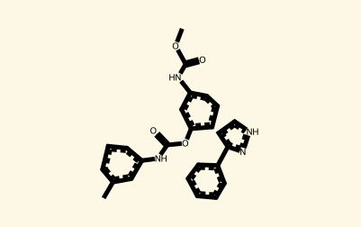 COC(=O)Nc1cccc(OC(=O)Nc2cccc(C)c2)c1.c1ccc(-c2cc[nH]n2)cc1